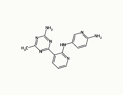 Cc1nc(N)nc(-c2cccnc2Nc2ccc(N)nc2)n1